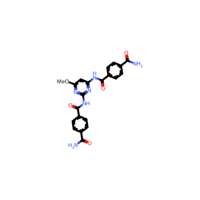 COc1cc(NC(=O)c2ccc(C(N)=O)cc2)nc(NC(=O)c2ccc(C(N)=O)cc2)n1